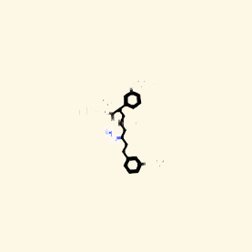 CCCCCCC(CCCCCC)C(C#N)(CCCC(CCc1cccc(OC)c1)N=NC)c1cccc(OC)c1